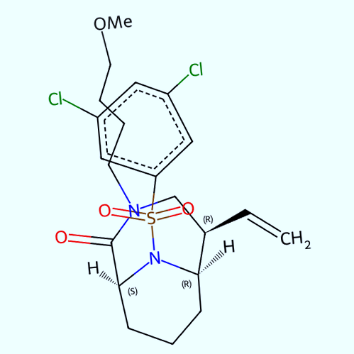 C=C[C@@H]1CN(CCCCOC)C(=O)[C@@H]2CCC[C@H]1N2S(=O)(=O)c1cc(Cl)cc(Cl)c1